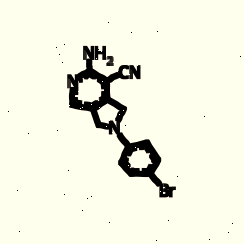 N#Cc1c(N)ncc2c1CN(c1ccc(Br)cc1)C2